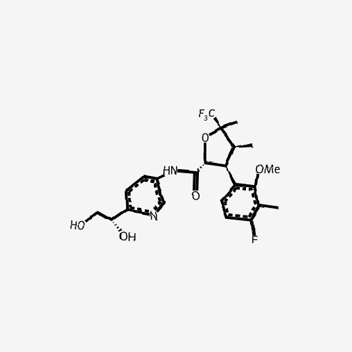 COc1c([C@H]2[C@H](C(=O)Nc3ccc([C@H](O)CO)nc3)O[C@@](C)(C(F)(F)F)[C@H]2C)ccc(F)c1C